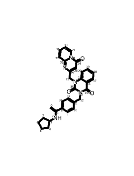 C=C(NC1CCCC1)c1ccc(Cn2c(=O)c3ccccc3n(Cc3cc(=O)n4ccccc4n3)c2=O)cc1